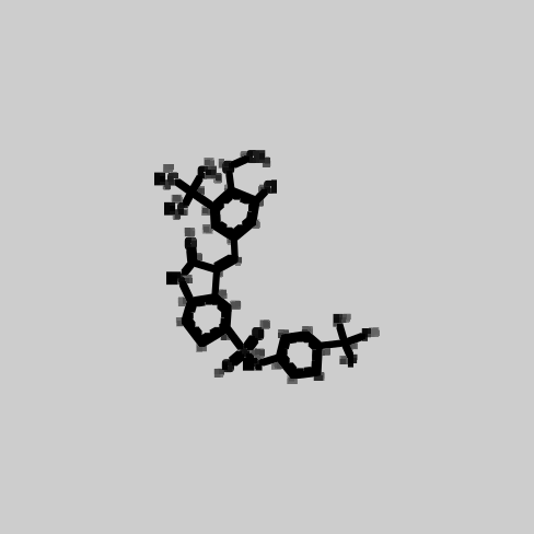 COc1c(Cl)cc(C=C2C(=O)Nc3ccc(S(=O)(=O)Nc4ccc(C(F)(F)F)cc4)cc32)cc1C(C)(C)C